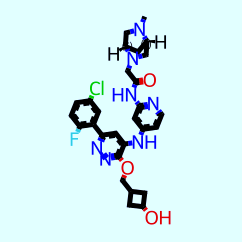 CN1C[C@@H]2C[C@H]1CN2CC(=O)Nc1cc(Nc2cc(-c3cc(Cl)ccc3F)nnc2OCC2CC(O)C2)ccn1